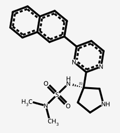 CN(C)S(=O)(=O)N[C@@]1(c2nccc(-c3ccc4ccccc4c3)n2)CCNC1